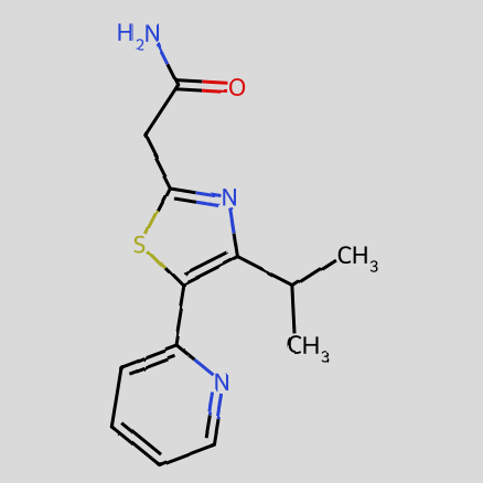 CC(C)c1nc(CC(N)=O)sc1-c1ccccn1